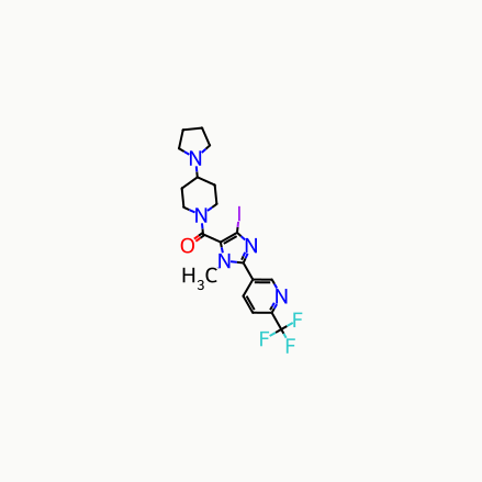 Cn1c(-c2ccc(C(F)(F)F)nc2)nc(I)c1C(=O)N1CCC(N2CCCC2)CC1